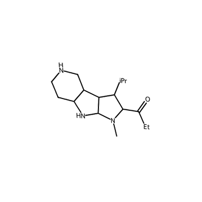 CCC(=O)C1C(C(C)C)C2C3CNCCC3NC2N1C